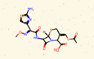 CON=C(C(=O)NC1C(=O)N2C(C(=O)O)C(=COC(C)=O)CS[C@@H]12)c1csc(N)n1